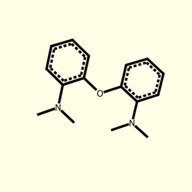 CN(C)c1ccccc1Oc1ccccc1N(C)C